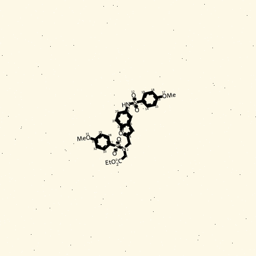 CCOC(=O)CN(Cc1cc2cc(NS(=O)(=O)c3ccc(OC)cc3)ccc2o1)S(=O)(=O)c1ccc(OC)cc1